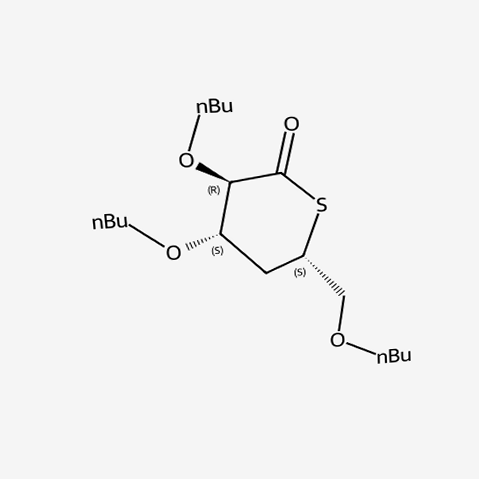 CCCCOC[C@@H]1C[C@H](OCCCC)[C@@H](OCCCC)C(=O)S1